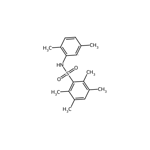 Cc1[c]c(NS(=O)(=O)c2c(C)c(C)cc(C)c2C)c(C)cc1